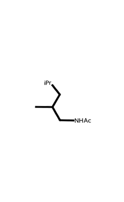 CC(=O)NCC(C)CC(C)C